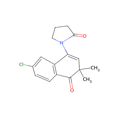 CC1(C)C=C(N2CCCC2=O)c2cc(Cl)ccc2C1=O